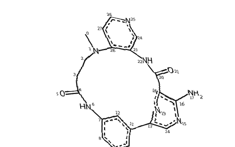 CN1CCC(=O)Nc2cccc(c2)-c2cnc(N)c(n2)C(=O)Nc2cnccc21